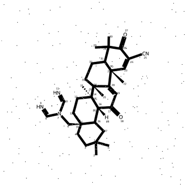 CC1(C)CC[C@]2(CN(C=N)C=N)CC[C@]3(C)[C@H](C(=O)C=C4[C@@]5(C)C=C(C#N)C(=O)C(C)(C)C5CC[C@]43C)C2C1